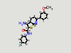 COc1cccc(-c2ccc3c(N)c(C(=O)Nc4ccc(F)cc4)sc3n2)c1